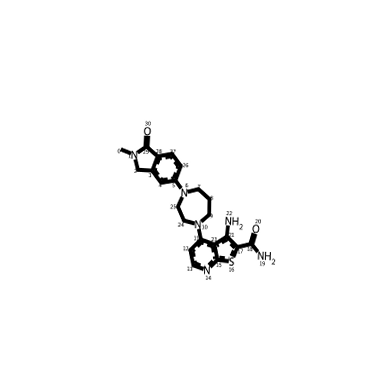 CN1Cc2cc(N3CCCN(c4ccnc5sc(C(N)=O)c(N)c45)CC3)ccc2C1=O